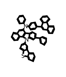 c1ccc(-c2ccc3c4c(N(c5ccccc5)c5ccc(-c6cc7ccccc7c7ccccc67)cc5)cc5ccccc5c4n(-c4ccc5sc6ccccc6c5c4)c3c2)cc1